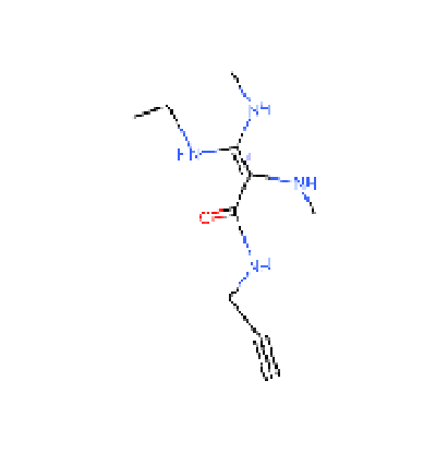 C#CCNC(=O)/C(NC)=C(/NC)NCC